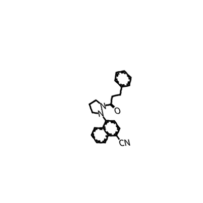 N#Cc1ccc(N2CCCN2C(=O)CCc2ccccc2)c2ccccc12